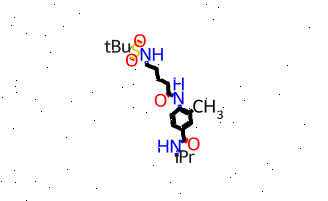 Cc1cc(C(=O)NC(C)C)ccc1NC(=O)CCCCNS(=O)(=O)C(C)(C)C